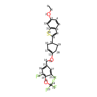 CCOc1ccc2cc(C3CC=C(OCc4cc(F)c(OC(F)(F)F)c(F)c4)CC3)sc2c1